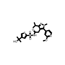 COc1cc(-c2c(CC(=O)NS(=O)(=O)c3cc(C(C)(C)O)cs3)c(C(C)C)nn2C)ccn1